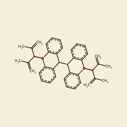 C=C(C)COc1ccccc1C(c1ccccc1OCC(=C)C)C(c1ccccc1OCC(=C)C)c1ccccc1OCC(=C)C